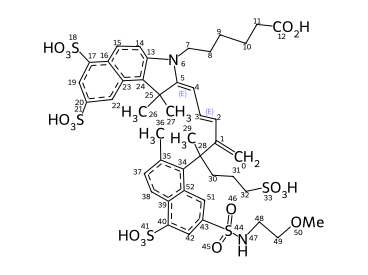 C=C(/C=C/C=C1/N(CCCCCC(=O)O)c2ccc3c(S(=O)(=O)O)cc(S(=O)(=O)O)cc3c2C1(C)C)C(C)(CCCS(=O)(=O)O)c1c(C)ccc2c(S(=O)(=O)O)cc(S(=O)(=O)NCCOC)cc12